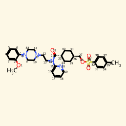 COc1ccccc1N1CCN(CCN(c2ccccn2)C(=O)[C@H]2CC[C@H](COS(=O)(=O)c3ccc(C)cc3)CC2)CC1